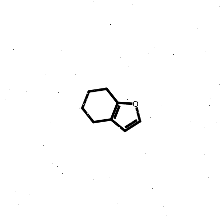 [CH]1CCc2occc2C1